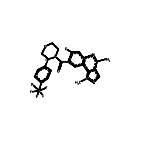 Cn1ncc2c(N)nc3cc(F)c(C(=O)N4CCOC[C@@H]4c4ccc(S(F)(F)(F)(F)F)cc4)cc3c21